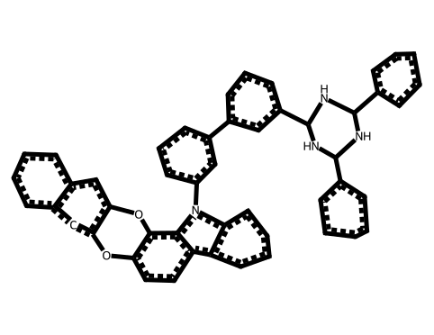 c1ccc(C2NC(c3ccccc3)NC(c3cccc(-c4cccc(-n5c6ccccc6c6ccc7c(c65)Oc5cc6ccccc6cc5O7)c4)c3)N2)cc1